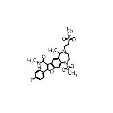 CNC(=O)c1c(-c2ccc(F)cc2)oc2cc3c(cc12)C(C)N(CCS(C)(=O)=O)CCN3S(C)(=O)=O